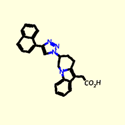 O=C(O)Cc1c2n(c3ccccc13)CC(n1cc(-c3cccc4ccccc34)nn1)CC2